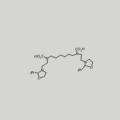 CC(C)C1OCCN1CCN(CCCCCCN(CCN1CCOC1C(C)C)C(=O)O)C(=O)O